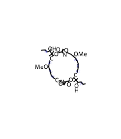 C/C=C/C(O)C(C)(C)C1C\C=C/C=C\C=C/C(OC)Cc2nc(co2)C(=O)OC(C(C)(C)C(O)/C=C/C)C/C=C\C(OC)/C=C\C=C/Cc2nc(co2)C(=O)O1